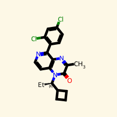 CC[C@H](C1CCC1)n1c(=O)c(C)nc2c(-c3ccc(Cl)cc3Cl)nccc21